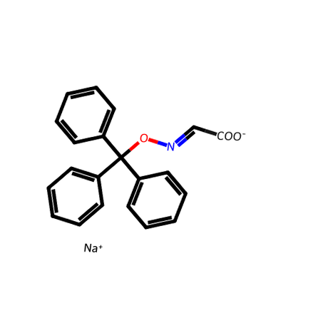 O=C([O-])C=NOC(c1ccccc1)(c1ccccc1)c1ccccc1.[Na+]